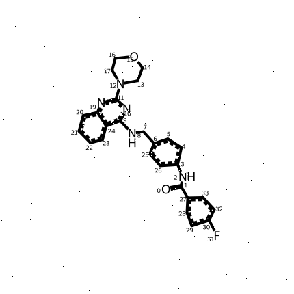 O=C(Nc1ccc(CNc2nc(N3CCOCC3)nc3ccccc23)cc1)c1ccc(F)cc1